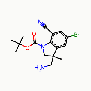 CC(C)(C)OC(=O)N1C[C@@](C)(CN)c2cc(Br)cc(C#N)c21